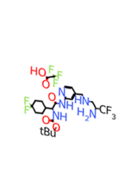 CC(C)(C)OC(=O)N[C@H](C(=O)Nc1cc(CNC[C@H](N)C(F)(F)F)ccn1)C1CCC(F)(F)CC1.O=C(O)C(F)(F)F